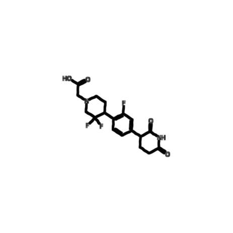 O=C(O)CN1CCC(c2ccc(C3CCC(=O)NC3=O)cc2F)C(F)(F)C1